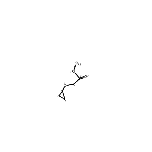 CC(C)(C)OC(=O)COC1CC1